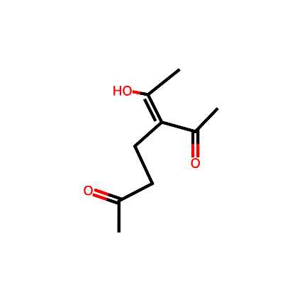 CC(=O)CCC(C(C)=O)=C(C)O